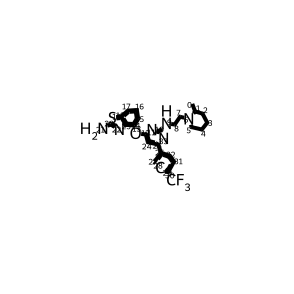 CC1CCCCN1CCNc1nc(Oc2cccc3sc(N)nc23)cc(-c2ccc(C(F)(F)F)cc2)n1